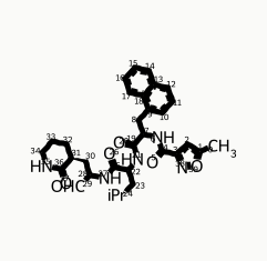 Cc1cc(C(=O)NC(Cc2cccc3ccccc23)C(=O)NC(CC(C)C)C(=O)NC(C=O)C[C@@H]2CCCNC2=O)no1